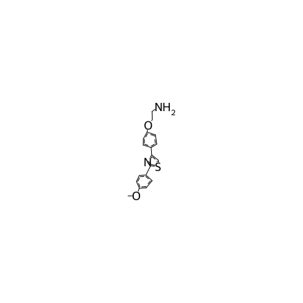 COc1ccc(-c2nc(-c3ccc(OCCN)cc3)cs2)cc1